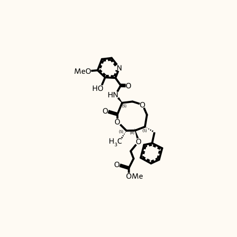 COC(=O)CCO[C@@H]1[C@@H](Cc2ccccc2)COC[C@H](NC(=O)c2nccc(OC)c2O)C(=O)O[C@H]1C